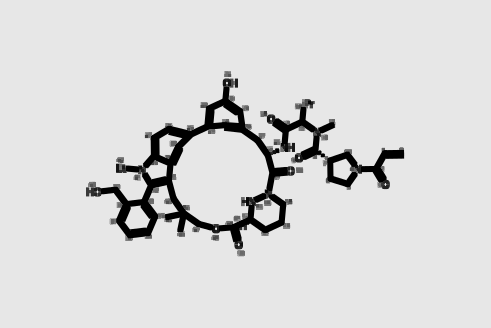 C=CC(=O)N1CC[C@H](C(=O)N(C)C(C(=O)N[C@H]2Cc3cc(O)cc(c3)-c3ccc4c(c3)c(c(-c3ccccc3CO)n4CC)CC(C)(C)COC(=O)[C@@H]3CCCN(N3)C2=O)C(C)C)C1